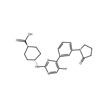 O=C1CCCN1c1cccc(-c2nc(N[C@H]3CC[C@H](C(=O)O)CC3)ncc2F)c1